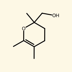 CC1=C(C)OC(C)(CO)CC1